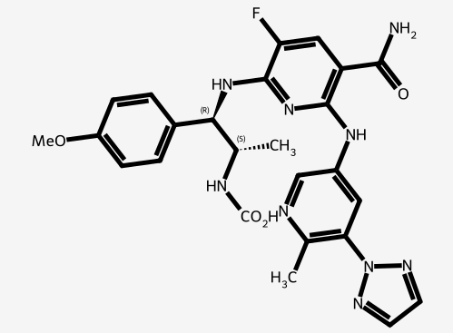 COc1ccc([C@@H](Nc2nc(Nc3cnc(C)c(-n4nccn4)c3)c(C(N)=O)cc2F)[C@H](C)NC(=O)O)cc1